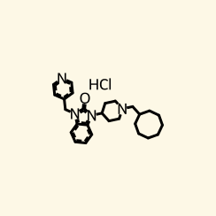 Cl.O=c1n(Cc2ccncc2)c2ccccc2n1C1CCN(CC2CCCCCCC2)CC1